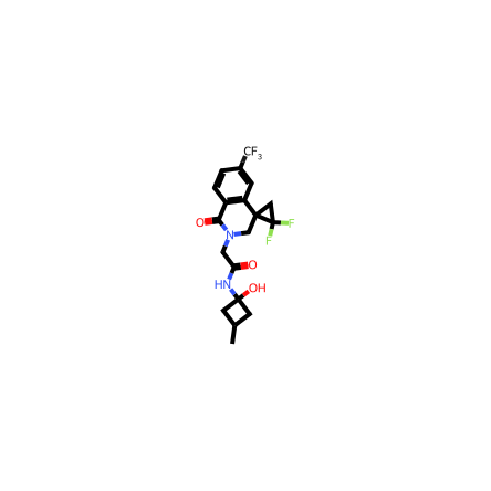 CC1CC(O)(NC(=O)CN2CC3(CC3(F)F)c3cc(C(F)(F)F)ccc3C2=O)C1